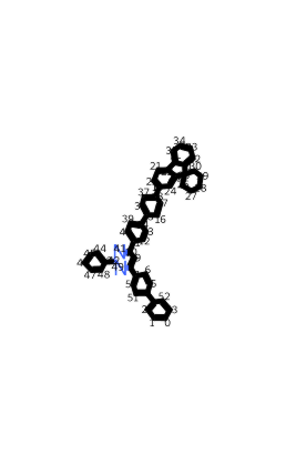 c1ccc(-c2ccc(-c3cc(-c4ccc(-c5ccc(-c6ccc7c(c6)C6(CCCCC6)c6ccccc6-7)cc5)cc4)nc(-c4ccccc4)n3)cc2)cc1